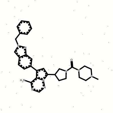 CN1CCN(C(=O)N2CCC(c3cc(-c4ccc5cn(Cc6ccccc6)nc5c4)c4c(N)ncnn34)C2)CC1